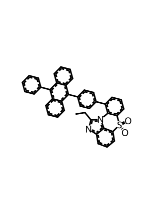 CCc1nc2cccc3c2n1-c1c(-c2ccc(-c4c5ccccc5c(-c5ccccc5)c5ccccc45)cc2)cccc1S3(=O)=O